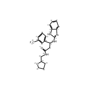 O=C(CC(Nc1nc2ccccc2[nH]1)c1cccc(C(F)(F)F)c1)NCC1CCCO1